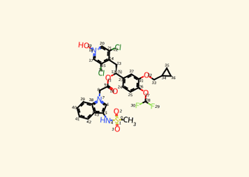 CS(=O)(=O)Nc1cn(CC(=O)O[C@@H](Cc2c(Cl)c[n+](O)cc2Cl)c2ccc(OC(F)F)c(OCC3CC3)c2)c2ccccc12